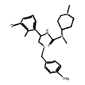 COc1ccc(COCC(NC(=O)N(C)C2CCN(C)CC2)c2cccc(Cl)c2C)cc1